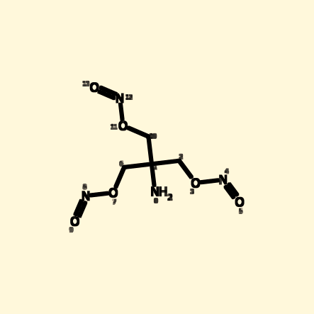 NC(CON=O)(CON=O)CON=O